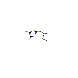 Cc1nc(CC(C)CCN)sc1C